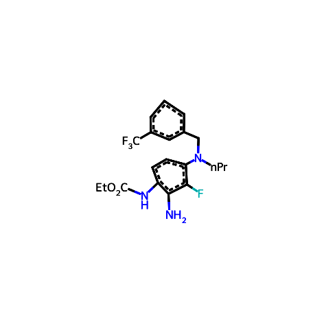 CCCN(Cc1cccc(C(F)(F)F)c1)c1ccc(NC(=O)OCC)c(N)c1F